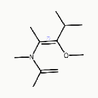 C=C(C)N(C)/C(C)=C(\OC)C(C)C